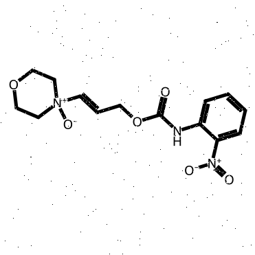 O=C(Nc1ccccc1[N+](=O)[O-])OC/C=C/[N+]1([O-])CCOCC1